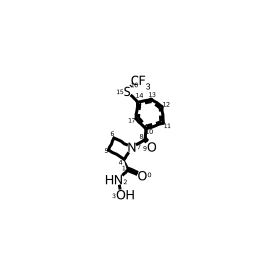 O=C(NO)[C@H]1CCN1C(=O)c1cccc(SC(F)(F)F)c1